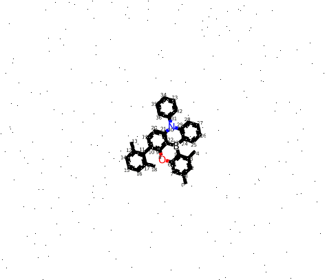 Cc1cc(C)c2c(c1)Oc1c(-c3c(C)cccc3C)ccc3c1B2c1ccccc1N3c1ccccc1